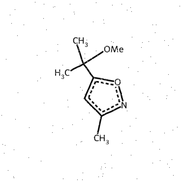 COC(C)(C)c1cc(C)no1